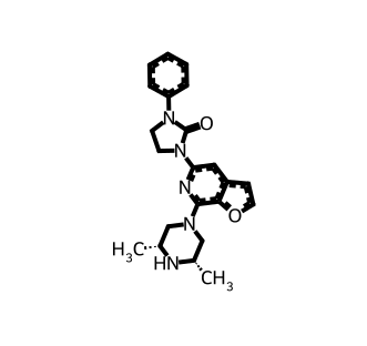 C[C@@H]1CN(c2nc(N3CCN(c4ccccc4)C3=O)cc3ccoc23)C[C@H](C)N1